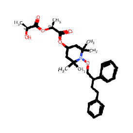 C[C@H](O)C(=O)O[C@@H](C)C(=O)OC1CC(C)(C)N(OCC(CCc2ccccc2)c2ccccc2)C(C)(C)C1